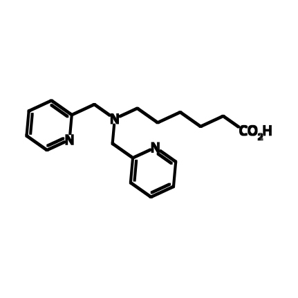 O=C(O)CCCCCN(Cc1ccccn1)Cc1ccccn1